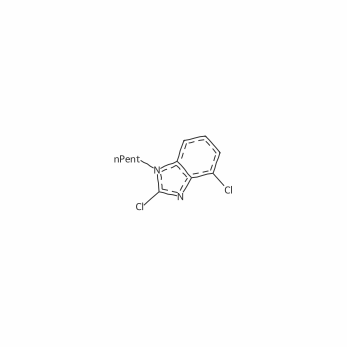 CCCCCn1c(Cl)nc2c(Cl)cccc21